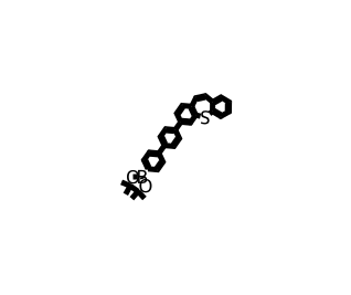 CC1(C)OB(c2ccc(-c3ccc(-c4ccc5c(c4)Sc4ccccc4C=C5)cc3)cc2)OC1(C)C